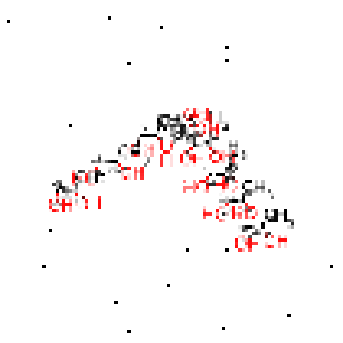 CC(O)CO.CC(O)CO.CC(O)CO.CC(O)CO.CC(O)CO.CC(O)CO.CC(O)CO.CCO.CCO.CCO